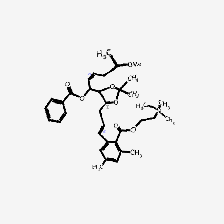 COC(C)C/C=C\C(OC(=O)c1ccccc1)C1OC(C)(C)O[C@H]1C/C=C/c1cc(C)cc(C)c1C(=O)OCC[Si](C)(C)C